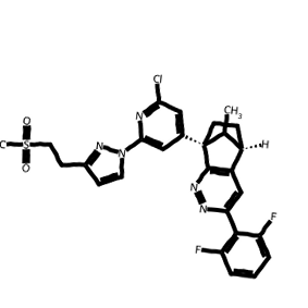 CC1[C@H]2CC[C@]1(c1cc(Cl)nc(-n3ccc(CCS(C)(=O)=O)n3)c1)c1nnc(-c3c(F)cccc3F)cc12